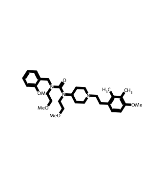 COCCN(Cc1ccccc1OC)C(=O)N(CCOC)C1CCN(CCc2ccc(OC)c(C)c2C)CC1